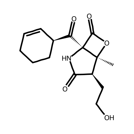 C[C@@]12OC(=O)[C@]1(C(=O)[C@@H]1C=CCCC1)NC(=O)[C@@H]2CCO